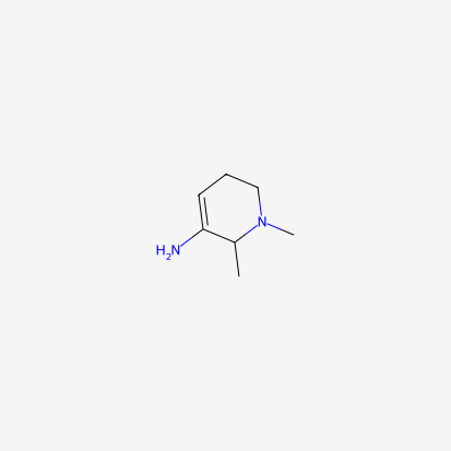 CC1C(N)=CCCN1C